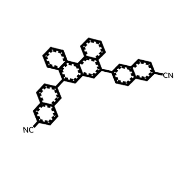 N#Cc1ccc2cc(-c3cc4cc(-c5ccc6cc(C#N)ccc6c5)c5ccccc5c4c4ccccc34)ccc2c1